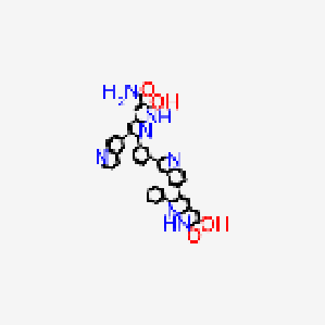 NC(=O)C1=Cc2cc(-c3ccc4ncccc4c3)c(-c3cccc(-c4cnc5ccc(-c6cc7cc(O)c(=O)[nH]c7nc6-c6ccccc6)cc5c4)c3)nc2NC1O